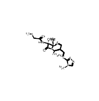 CO[C@@]1(NC(=O)CSC(F)(F)F)C(=O)N2C(C(=O)O)=C(CSc3nncn3C)CS[C@H]21